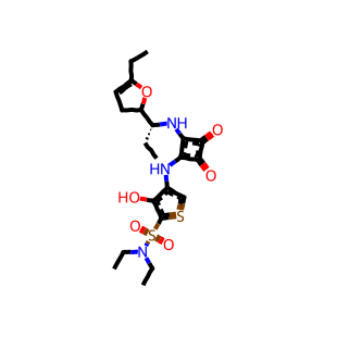 CCC1=CCC([C@@H](CC)Nc2c(Nc3csc(S(=O)(=O)N(CC)CC)c3O)c(=O)c2=O)O1